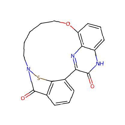 O=c1[nH]c2cccc3c2nc1-c1cccc2c(=O)n(sc12)CCCCCO3